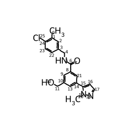 Cc1cc(CNC(=O)c2cc(CO)cc(-c3ccnn3C)c2)ccc1Cl